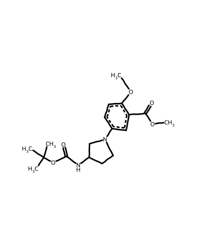 COC(=O)c1cc(N2CCC(NC(=O)OC(C)(C)C)C2)ccc1OC